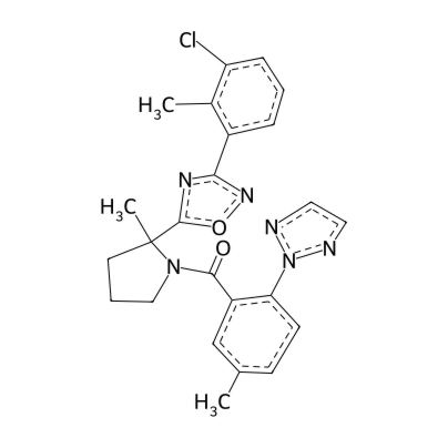 Cc1ccc(-n2nccn2)c(C(=O)N2CCCC2(C)c2nc(-c3cccc(Cl)c3C)no2)c1